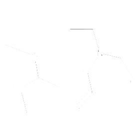 CCN(CC)CC=O.COC(C)OC